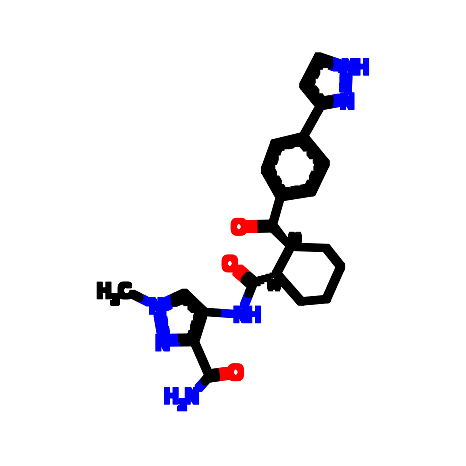 Cn1cc(NC(=O)[C@H]2CCCC[C@@H]2C(=O)c2ccc(-c3cc[nH]n3)cc2)c(C(N)=O)n1